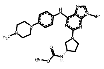 CC(C)n1cnc2c(Nc3ccc(N4CCN(C)CC4)cc3)nc(N3CC[C@H](NC(=O)OC(C)(C)C)C3)nc21